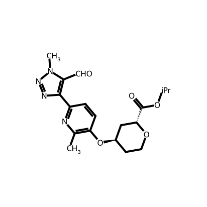 Cc1nc(-c2nnn(C)c2C=O)ccc1O[C@@H]1CCO[C@@H](C(=O)OC(C)C)C1